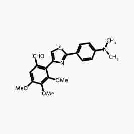 COc1cc(C=O)c(-c2csc(-c3ccc(N(C)C)cc3)n2)c(OC)c1OC